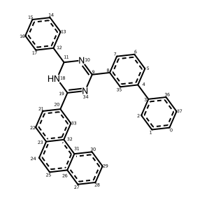 c1ccc(-c2cccc(C3=NC(c4ccccc4)NC(c4ccc5ccc6ccccc6c5c4)=N3)c2)cc1